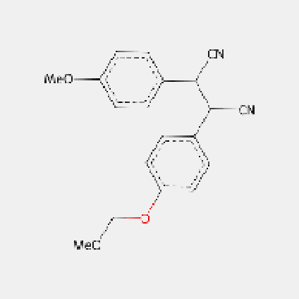 COCOc1ccc(C(C#N)C(C#N)c2ccc(OC)cc2)cc1